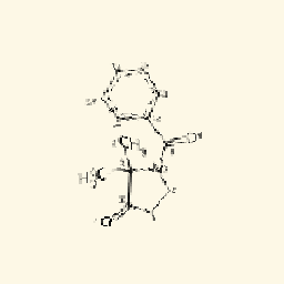 CC1(C)C(=O)CCN1C(=O)c1ccccc1